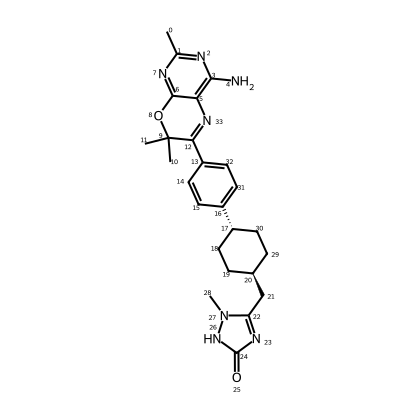 Cc1nc(N)c2c(n1)OC(C)(C)C(c1ccc([C@H]3CC[C@H](Cc4nc(=O)[nH]n4C)CC3)cc1)=N2